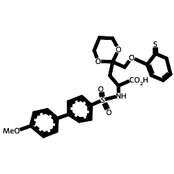 COc1ccc(-c2ccc(S(=O)(=O)NC(CC3(COC4=CC=CCC4=S)OCCCO3)C(=O)O)cc2)cc1